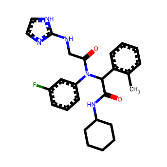 Cc1ccccc1C(C(=O)NC1CCCCC1)N(C(=O)CNc1ncc[nH]1)c1cccc(F)c1